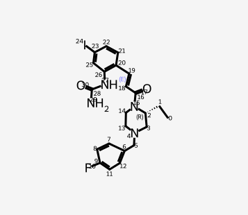 CC[C@@H]1CN(Cc2ccc(F)cc2)CCN1C(=O)/C=C/c1ccc(I)cc1NC(N)=O